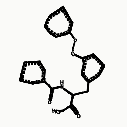 O=C(NC(Cc1cccc(OOc2ccccc2)c1)C(=O)O)c1ccccc1